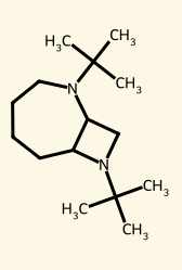 CC(C)(C)N1CCCCC2C1CN2C(C)(C)C